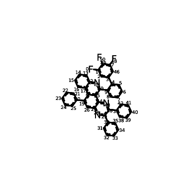 Fc1cc(-c2ccccc2-c2nc3ccccc3c3c(-c4ccccc4)cc4nc(-c5ccccc5)c(-c5ccccc5)nc4c23)cc(F)c1F